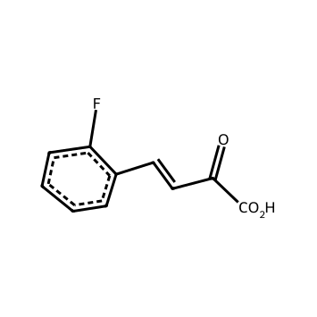 O=C(O)C(=O)C=Cc1ccccc1F